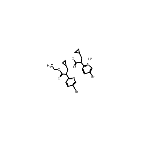 CCOC(=O)C(CC1CC1)c1ccc(Br)cn1.O=C([O-])C(CC1CC1)c1ccc(Br)cn1.[Li+]